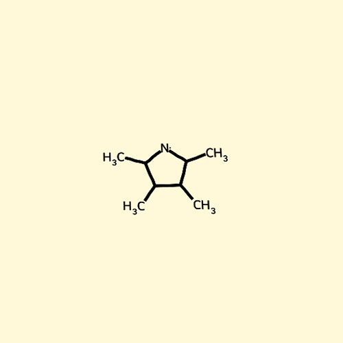 CC1[N]C(C)C(C)C1C